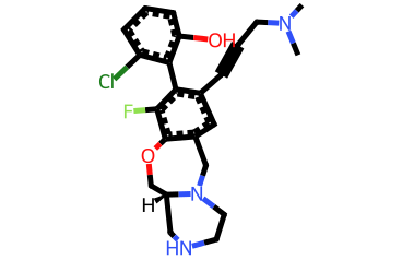 CN(C)CC#Cc1cc2c(c(F)c1-c1c(O)cccc1Cl)OC[C@H]1CNCCN1C2